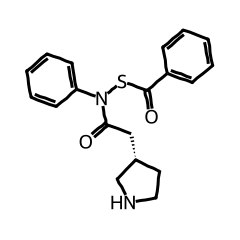 O=C(SN(C(=O)C[C@@H]1CCNC1)c1ccccc1)c1ccccc1